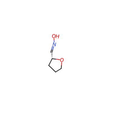 O/N=C/[C@H]1CCCO1